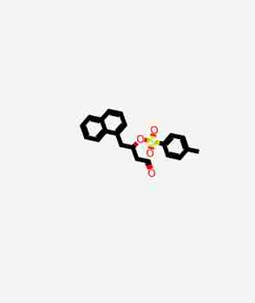 Cc1ccc(S(=O)(=O)OC(CC=O)Cc2cccc3ccccc23)cc1